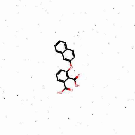 O=C(O)c1cccc(Oc2ccc3ccccc3c2)c1C(=O)O